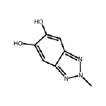 Cn1nc2cc(O)c(O)cc2n1